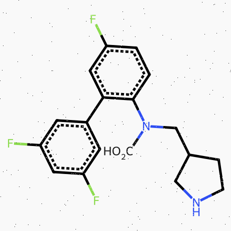 O=C(O)N(CC1CCNC1)c1ccc(F)cc1-c1cc(F)cc(F)c1